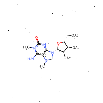 CC(=O)OC[C@H]1O[C@@H](N2CN(C)c3c2nc(=O)n(C)c3N)[C@H](OC(C)=O)[C@@H]1OC(C)=O